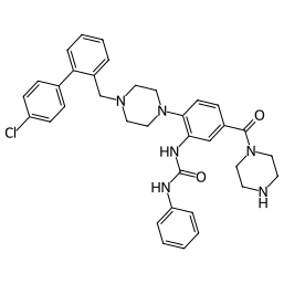 O=C(Nc1ccccc1)Nc1cc(C(=O)N2CCNCC2)ccc1N1CCN(Cc2ccccc2-c2ccc(Cl)cc2)CC1